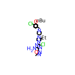 CCCCOc1cc(CN2CCC(N3CCN(c4nc(N)c(-c5nnc(C)o5)nc4Cl)C[C@@H]3CC)CC2)ccc1Cl